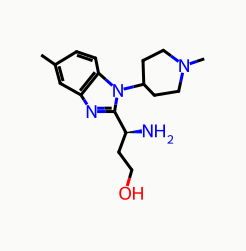 Cc1ccc2c(c1)nc([C@@H](N)CCO)n2C1CCN(C)CC1